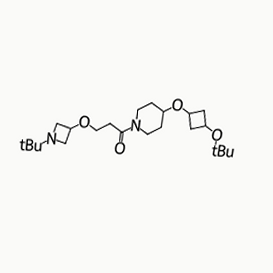 CC(C)(C)OC1CC(OC2CCN(C(=O)CCOC3CN(C(C)(C)C)C3)CC2)C1